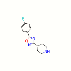 Fc1ccc(-c2nc(C3CCNCC3)no2)cc1